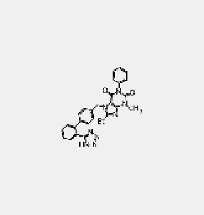 CCc1nc2c(c(=O)n(-c3ccccc3)c(=O)n2C)n1Cc1ccc(-c2ccccc2-c2nnn[nH]2)cc1